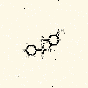 Cc1ccc(NS(=O)(=O)c2ccccc2)c(Br)c1